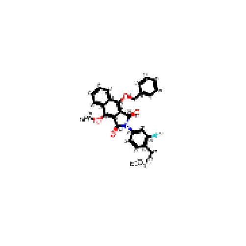 CCCOc1c2c(c(OCc3ccccc3)c3ccccc13)C(=O)N(c1ccc(CC(=O)OCC)c(F)c1)C2=O